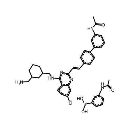 CC(=O)Nc1cccc(-c2ccc(C=Cc3nc(NCC4CCCC(CN)C4)c4ccc(Cl)cc4n3)cc2)c1.CC(=O)Nc1cccc(B(O)O)c1